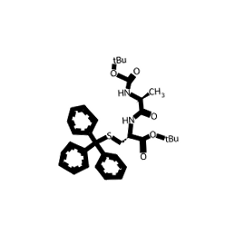 C[C@H](NC(=O)OC(C)(C)C)C(=O)N[C@@H](CSC(c1ccccc1)(c1ccccc1)c1ccccc1)C(=O)OC(C)(C)C